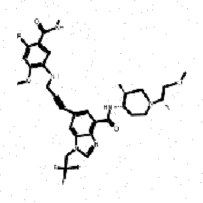 CNC(=O)c1cc(NCC#Cc2cc(C(=O)N[C@H]3CCN([C@@H](C)COC)C[C@@H]3C)c3ncn(CC(F)(F)F)c3c2)c(OC)cc1F